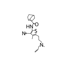 C=CCN(C)CCCc1sc(NC(=O)C2CC3CCC2CC3)c(C#N)c1C